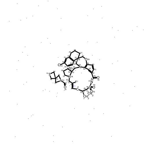 C[C@@H]1[C@@H](C)C/C=C(\F)[C@H](C(=O)N2CC3(CSC3)C2)N2CCC[C@H]2CN2C[C@@]3(CCCc4cc(Cl)ccc43)COc3ccc(cc32)C(=O)NS1(=O)=O